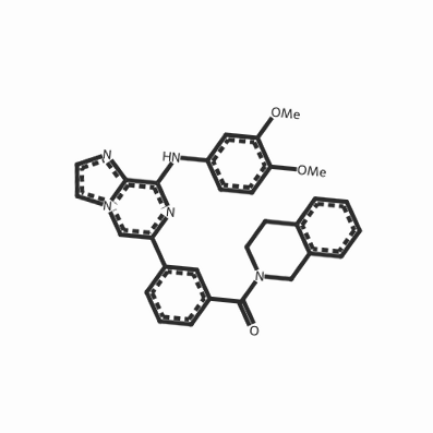 COc1ccc(Nc2nc(-c3cccc(C(=O)N4CCc5ccccc5C4)c3)cn3ccnc23)cc1OC